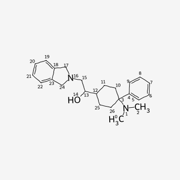 CN(C)C1(c2ccccc2)CCC(C(O)CN2Cc3ccccc3C2)CC1